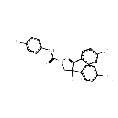 CCOC(=O)C1(c2ccc(C(F)(F)F)cc2)CN(C(=O)Nc2ccc(C(F)(F)F)cc2)N=C1c1ccc(Cl)cc1